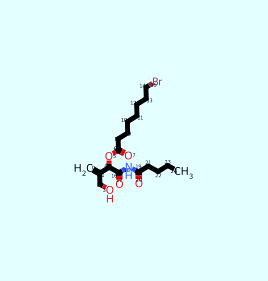 C=C(CO)C(OC(=O)CCCCCCCBr)C(=O)NC(=O)CCCC